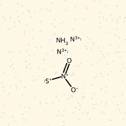 N.O=[N+]([O-])[S+].[N+3].[N+3]